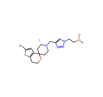 CCc1cc2c(s1)CCOC21CCN(Cc2cn(CC[S+](C)[O-])nn2)[C@@H](C)C1